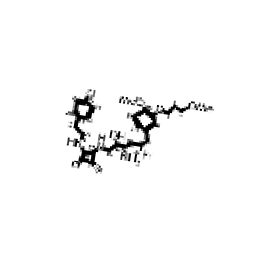 COCCCOc1cc(C[C@@H](C[C@H](N)[C@@H](O)CNc2c(NCCc3ccc(Cl)cc3)c(=O)c2=O)C(C)C)ccc1OC